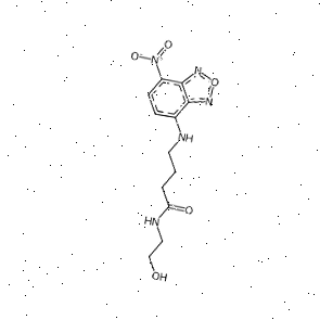 O=C(CCCNc1ccc([N+](=O)[O-])c2nonc12)NCCO